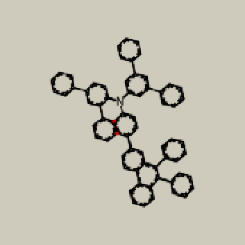 c1ccc(-c2cc(-c3ccccc3)cc(N(c3ccc(-c4ccc5c(c4)c(-c4ccccc4)c(-c4ccccc4)c4ccccc45)cc3)c3ccc(-c4ccccc4)cc3-c3ccccc3)c2)cc1